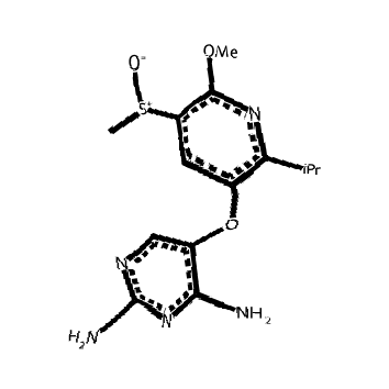 COc1nc(C(C)C)c(Oc2cnc(N)nc2N)cc1[S+](C)[O-]